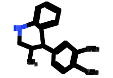 COc1ccc(C2c3ccccc3NCC2C)cc1OC